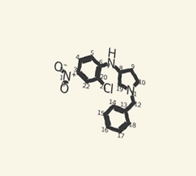 O=[N+]([O-])c1ccc(NC2CCN(Cc3ccccc3)C2)c(Cl)c1